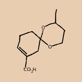 CC1CCOC2(CCC=C(C(=O)O)C2)O1